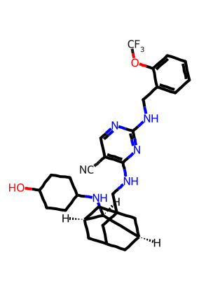 N#Cc1cnc(NCc2ccccc2OC(F)(F)F)nc1NCC12CC3C[C@H](C1)[C@H](NC1CCC(O)CC1)[C@@H](C3)C2